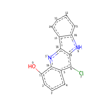 Oc1cccc2c(Cl)c3[nH]c4ccccc4c3nc12